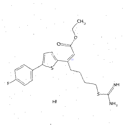 CCOC(=O)/C=C(/CCCCSC(=N)N)c1ccc(-c2ccc(F)cc2)s1.I